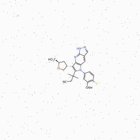 COc1cc(-n2c(C(C)(C)CC#N)c([C@@H]3CO[C@@H](C(=O)O)C3)c3nc4[nH]ncc4cc32)ccc1F